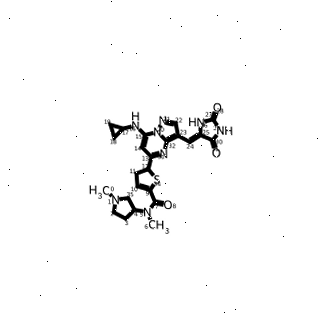 CN1CCC(N(C)C(=O)C2=CCC(c3cc(NC4CC4)n4ncc(/C=C5\NC(=O)NC5=O)c4n3)S2)C1